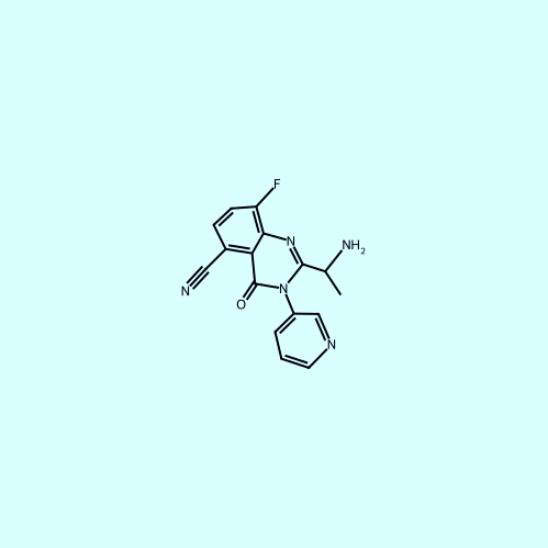 CC(N)c1nc2c(F)ccc(C#N)c2c(=O)n1-c1cccnc1